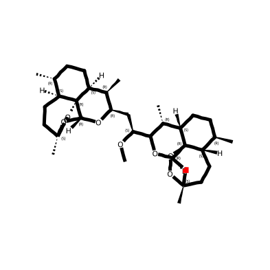 CO[C@@H](C[C@H]1O[C@@H]2O[C@]3(C)CC[C@H]4[C@H](C)CC[C@@H]([C@H]1C)[C@@]24OO3)C1O[C@@H]2O[C@]3(C)CC[C@H]4[C@H](C)CC[C@@H]([C@H]1C)[C@@]24OO3